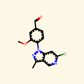 COc1cc(C=O)ccc1-n1nc(C)c2cnc(Cl)cc21